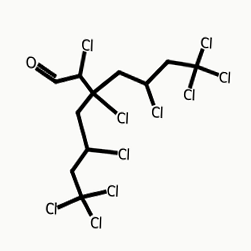 O=CC(Cl)C(Cl)(CC(Cl)CC(Cl)(Cl)Cl)CC(Cl)CC(Cl)(Cl)Cl